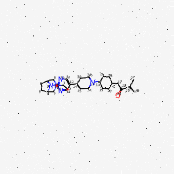 CCN1CC2CCC(C1)N2c1ncc(C2CCN(C3CCC(CC(=O)C(C)C)CC3)CC2)cn1